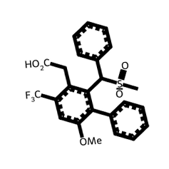 COc1cc(C(F)(F)F)c(CC(=O)O)c(C(c2ccccc2)S(C)(=O)=O)c1-c1ccccc1